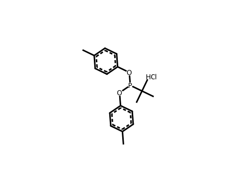 Cc1ccc(OP(Oc2ccc(C)cc2)C(C)(C)C)cc1.Cl